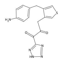 Nc1ccc(Cc2cscc2CC(=O)C(=O)c2nn[nH]n2)cc1